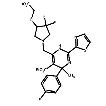 CCOC(=O)C1=C(CN2CC(OCC(=O)O)C(F)(F)C2)NC(c2nccs2)=NC1(C)c1ccc(F)cc1